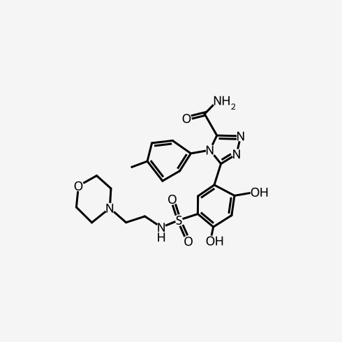 Cc1ccc(-n2c(C(N)=O)nnc2-c2cc(S(=O)(=O)NCCN3CCOCC3)c(O)cc2O)cc1